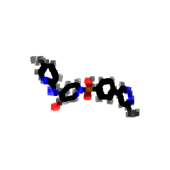 N#Cc1cc(-c2ccc(S(=O)(=O)N3CC[C@@H](Nc4ccc(C(F)(F)F)cn4)[C@@H](O)C3)cc2)cnn1